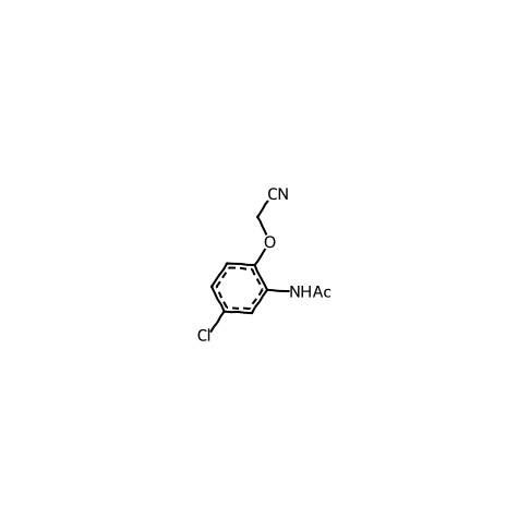 CC(=O)Nc1cc(Cl)ccc1OCC#N